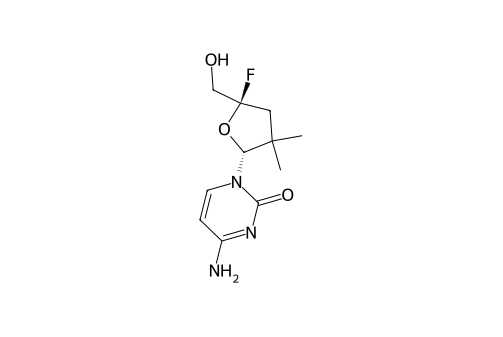 CC1(C)C[C@@](F)(CO)O[C@H]1n1ccc(N)nc1=O